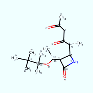 CC(=O)CC(=O)[C@H](C)C1NC(=O)C1[C@@H](C)O[Si](C)(C)C(C)(C)C